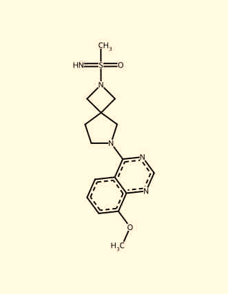 COc1cccc2c(N3CCC4(C3)CN(S(C)(=N)=O)C4)ncnc12